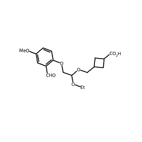 CCOC(COc1ccc(OC)cc1C=O)OCC1CC(C(=O)O)C1